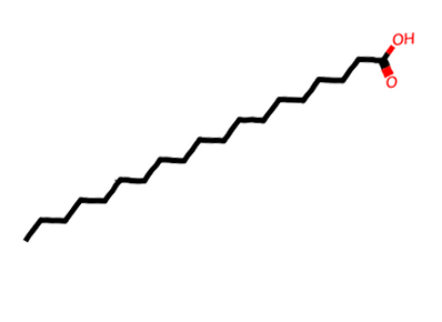 CCCCC[CH]CCCCCCCCCCCCC(=O)O